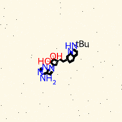 CC(C)(C)Nc1ccc2ccc(CC[C@H]3C[C@@H](n4ccc5c(N)ncnc54)[C@H](O)[C@@H]3O)cc2n1